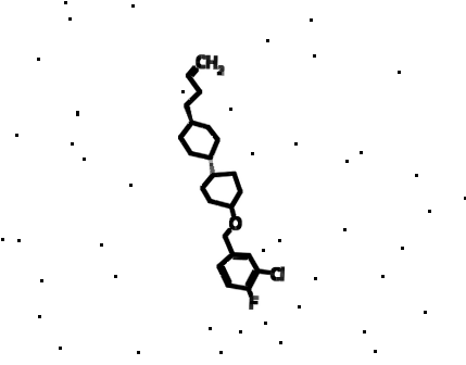 C=CCC[C@H]1CC[C@H](C2CCC(OCc3ccc(F)c(Cl)c3)CC2)CC1